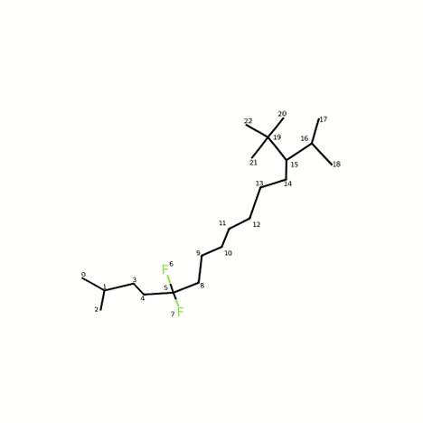 CC(C)CCC(F)(F)CCCCCCCC(C(C)C)C(C)(C)C